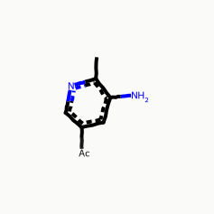 CC(=O)c1cnc(C)c(N)c1